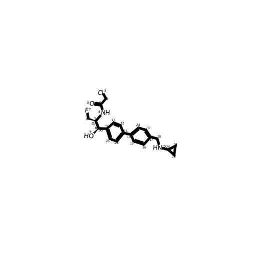 O=C(CCl)N[C@H](CF)[C@H](O)c1ccc(-c2ccc(CNC3CC3)cc2)cc1